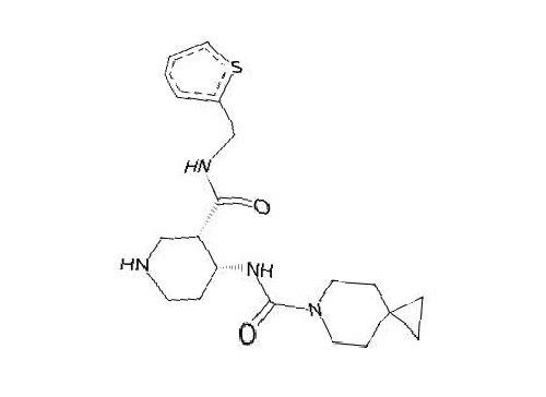 O=C(NCc1cccs1)[C@H]1CNCC[C@H]1NC(=O)N1CCC2(CC1)CC2